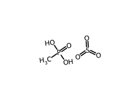 CP(=O)(O)O.O=S(=O)=O